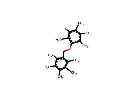 Cc1c(C)c(C)c(COc2c(C)c(C)c(C)c(I)c2C)c(C)c1C